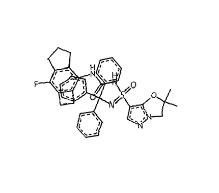 CC1(C)Cn2ncc(S(=O)(=NC(c3ccccc3)(c3ccccc3)c3ccccc3)NC(=O)Nc3c4c(c(F)c5c3CC5)CCC4)c2O1